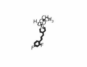 CC(C)(C)OC(=O)N1CCC(CC=Cc2ccc(F)cc2F)CC1